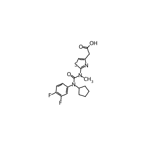 CN(C(=O)N(c1ccc(F)c(F)c1)C1CCCC1)c1nc(CC(=O)O)cs1